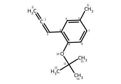 C=C=Cc1cc(C)ccc1OC(C)(C)C